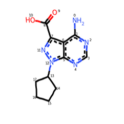 Nc1ncnc2c1c(C(=O)O)nn2C1CCCC1